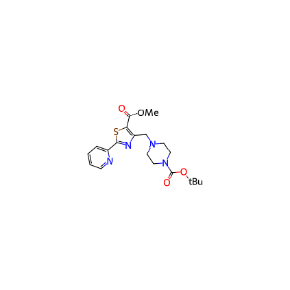 COC(=O)c1sc(-c2ccccn2)nc1CN1CCN(C(=O)OC(C)(C)C)CC1